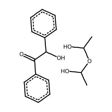 CC(O)OC(C)O.O=C(c1ccccc1)C(O)c1ccccc1